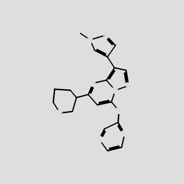 Cn1cc(-c2cnn3c(Nc4cnccn4)cc(C4CCCNC4)nc23)cn1